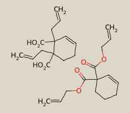 C=CCC1(C(=O)O)C=CCCC1(CC=C)C(=O)O.C=CCOC(=O)C1(C(=O)OCC=C)C=CCCC1